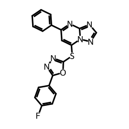 Fc1ccc(-c2nnc(Sc3cc(-c4ccccc4)nc4ncnn34)o2)cc1